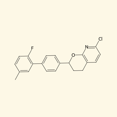 Cc1ccc(F)c(-c2ccc(C3CCc4ccc(Cl)nc4O3)cc2)c1